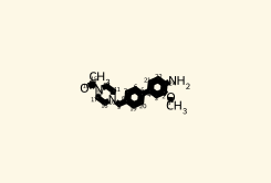 COc1cc(-c2ccc(CN3CCN(C(C)=O)CC3)cc2)ccc1N